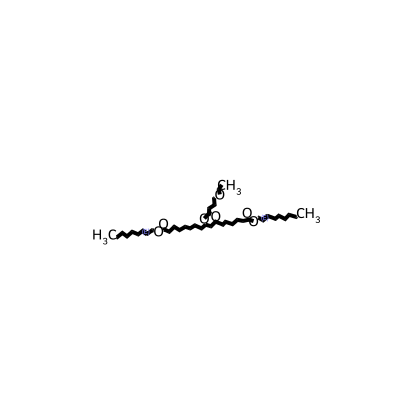 CCCCCC/C=C/COC(=O)CCCCCCCC(CCCCCCCC(=O)OC/C=C/CCCCCC)OC(=O)CCCOCC